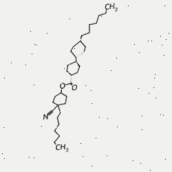 CCCCCCCC1(C#N)CCC(OC(=O)[C@H]2CC[C@H]([C@H]3CC[C@H](CCCCCCC)CC3)CC2)CC1